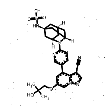 CC(C)(O)COc1cc(-c2ccc(N3[C@@H]4C[C@@H]5C[C@H]3C[C@@](NS(C)(=O)=O)(C5)C4)nc2)c2c(C#N)cnn2c1